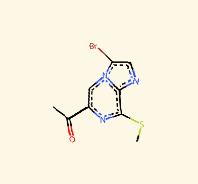 CSc1nc(C(C)=O)cn2c(Br)cnc12